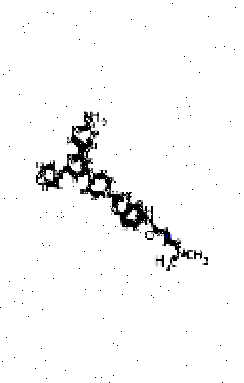 CN(C)C/C=C/C(=O)Nc1ccc2sc(N3CCN(c4cc(-c5cnc(N)nc5)nc(N5CCOCC5)c4)CC3)nc2c1